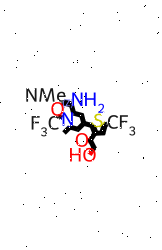 CN/C=C(\N)C1CC(c2sc(C(F)(F)F)cc2C(=O)CO)CC(C)N1C(=O)C(F)(F)F